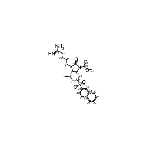 C=CCN(C[C@@H]1CC(CCCCC(=N)N)C(=O)N1C(=O)OC)S(=O)(=O)c1ccc2ccccc2c1